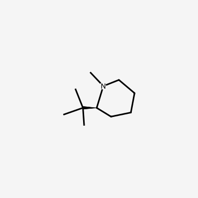 CN1CCCC[C@H]1C(C)(C)C